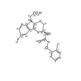 Cc1ccccc1OCC(=O)N[C@@H]1CCc2c(c3cc(F)ccc3n2CC(=O)O)C1